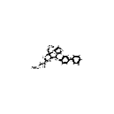 COCNC(=O)OC(C(Oc1ccc(-c2ccccc2)cc1)n1ccnc1)C(C)(C)COC(C)=O